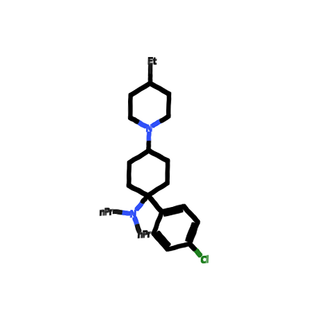 CCCN(CCC)C1(c2ccc(Cl)cc2)CCC(N2CCC(CC)CC2)CC1